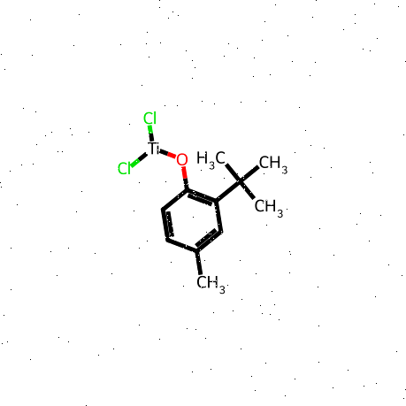 Cc1ccc([O][Ti]([Cl])[Cl])c(C(C)(C)C)c1